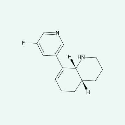 Fc1cncc(C2=CCC[C@H]3CCCN[C@@H]23)c1